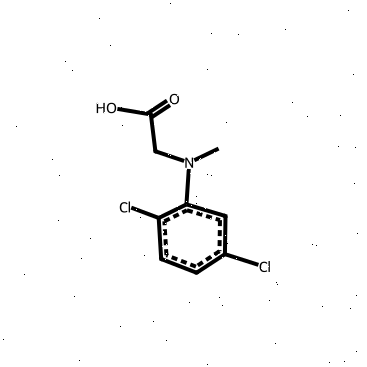 CN(CC(=O)O)c1cc(Cl)ccc1Cl